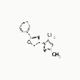 Cc1cc(C)n(C2COC(c3ccccc3)=N2)n1